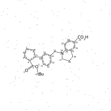 CC(C)(C)OC(=O)c1ccccc1-c1cccc(CN2CCCc3cc(C(=O)O)ccc32)c1